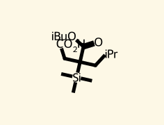 CC(C)COC(=O)C(CC(=O)O)(CC(C)C)[Si](C)(C)C